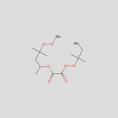 CC(CC(C)(C)OOC(C)(C)C)OC(=O)C(=O)OOC(C)(C)CC(C)(C)C